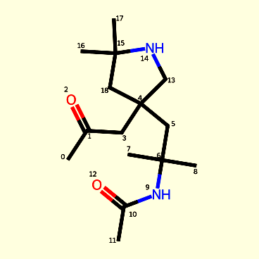 CC(=O)CC1(CC(C)(C)NC(C)=O)CNC(C)(C)C1